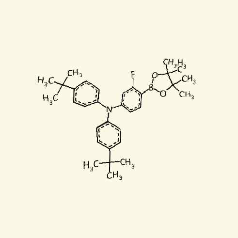 CC(C)(C)c1ccc(N(c2ccc(C(C)(C)C)cc2)c2ccc(B3OC(C)(C)C(C)(C)O3)c(F)c2)cc1